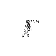 O=C(O)NC1CN(C(=O)NS(=O)(=O)N2CCN(Cc3cc(=O)c(OCc4ccccc4)cn3Cc3ccccc3)C(=O)C2=O)C1=O